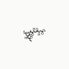 CCC(=O)N[C@@H](CCSC)C(=O)N[C@@H](C)C(=O)NCC(=O)NCC(=O)OC